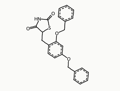 O=C1NC(=O)C(Cc2ccc(OCc3ccccc3)cc2OCc2ccccc2)S1